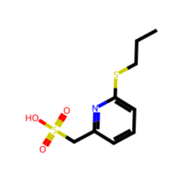 CCCSc1cccc(CS(=O)(=O)O)n1